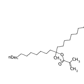 C=C(C)C(=O)OC(C)(CCCCCCCCF)CCCCCCCCCCCCCCCCC